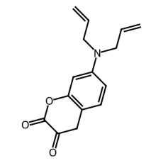 C=CCN(CC=C)c1ccc2c(c1)OC(=O)C(=O)C2